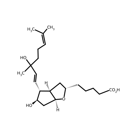 CC(C)=CCCC(C)(O)C=C[C@@H]1[C@H]2C[C@H](CCCCC(=O)O)O[C@H]2C[C@H]1O